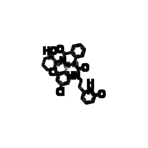 O=C(NCCc1cccc(=O)[nH]1)[C@@H]1c2ccccc2C(=O)N([C@H]2CCCC[C@@H]2O)[C@H]1c1ccc(Cl)cc1Cl